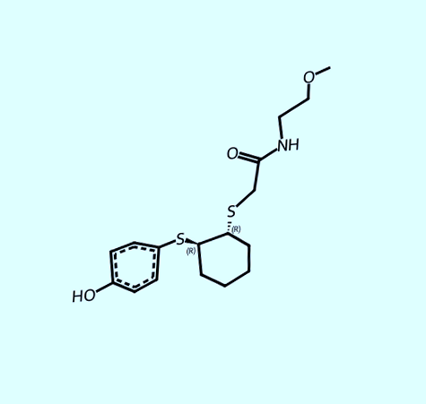 COCCNC(=O)CS[C@@H]1CCCC[C@H]1Sc1ccc(O)cc1